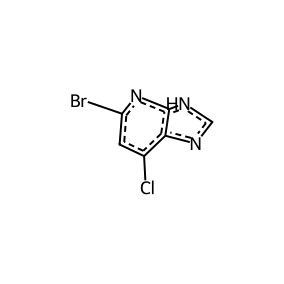 Clc1cc(Br)nc2[nH]cnc12